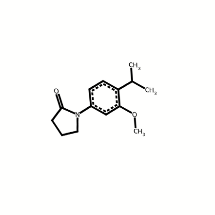 COc1cc(N2CCCC2=O)ccc1C(C)C